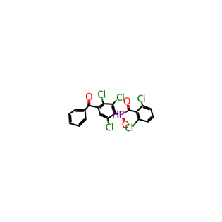 O=C(c1ccccc1)c1cc(Cl)c([PH](=O)C(=O)c2c(Cl)cccc2Cl)c(Cl)c1Cl